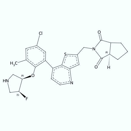 Cc1cc(Cl)cc(-c2ccnc3cc(CN4C(=O)C5CCC[C@H]5C4=O)sc23)c1O[C@@H]1CNC[C@@H]1F